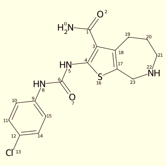 NC(=O)c1c(NC(=O)Nc2ccc(Cl)cc2)sc2c1CCCNC2